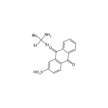 CCC(C)C(N)(CC)CC.O=C1c2ccccc2C(=O)c2cc(S(=O)(=O)O)ccc21